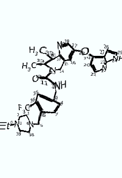 CCN1CCN(Cc2ccc(NC(=O)N3Cc4cc(Oc5ccnc6[nH]ccc56)cnc4C(C)C3C)cc2C(F)(F)F)CC1